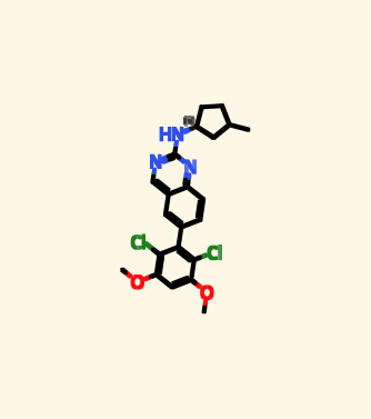 COc1cc(OC)c(Cl)c(-c2ccc3nc(N[C@H]4CCC(C)C4)ncc3c2)c1Cl